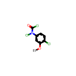 CCOc1cc(N(Cl)C(=O)Cl)ccc1Cl